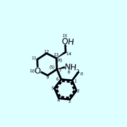 Cc1ccccc1[C@]1(N)COCC[C@H]1CO